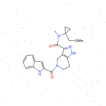 COCC1(N(C)C(=O)c2n[nH]c3c2CN(C(=O)c2cc4ccccc4[nH]2)CC3)CC1